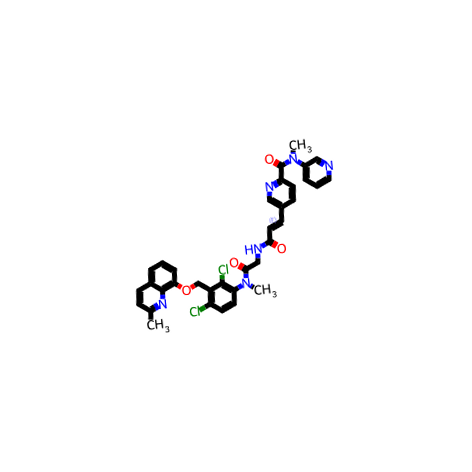 Cc1ccc2cccc(OCc3c(Cl)ccc(N(C)C(=O)CNC(=O)/C=C/c4ccc(C(=O)N(C)c5cccnc5)nc4)c3Cl)c2n1